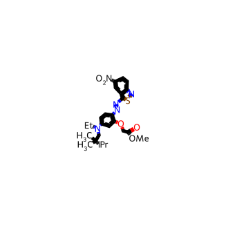 CCN(CC(C)(C)C(C)C)c1ccc(/N=N/c2snc3ccc([N+](=O)[O-])cc23)c(OCC(=O)OC)c1